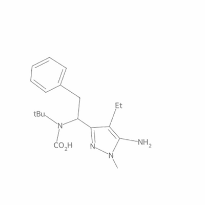 CCc1c(C(Cc2ccccc2)N(C(=O)O)C(C)(C)C)nn(C)c1N